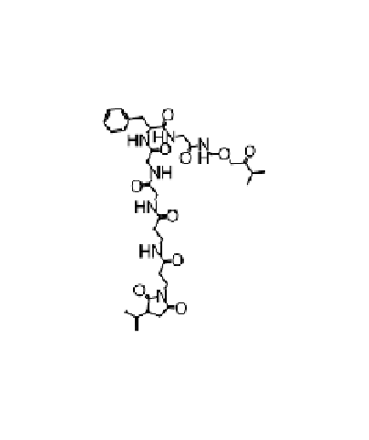 CC(C)C(=O)COCNC(=O)CNC(=O)C(Cc1ccccc1)NC(=O)CNC(=O)CNC(=O)CCNC(=O)CCN1C(=O)CC(C(C)C)C1=O